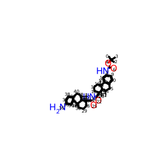 CC(C)(C)OC(=O)Nc1ccc2c(c1)[C@@]1(C)CCC[C@](C)(C(=O)NC(=O)[C@@]3(C)CCC[C@]4(C)c5cc(N)ccc5CC[C@@H]34)[C@@H]1CC2